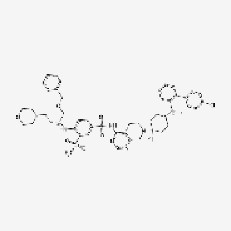 [2H]C1(N2CCc3c(ncnc3NS(=O)(=O)c3ccc(N[C@H](CCN4CCOCC4)COCc4ccccc4)c(S(=O)(=O)C(F)(F)F)c3)C2)CCN([C@@H](C)c2ccccc2-c2ccc(Cl)cc2)CC1